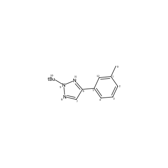 Cc1cccc(-c2cnn(C(C)(C)C)n2)c1